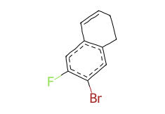 Fc1cc2c(cc1Br)CCC=C2